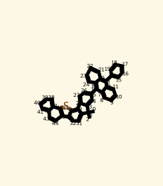 CC1(C)c2cc(-c3c4ccccc4c(-c4ccccc4)c4ccccc34)ccc2-c2c1ccc1c2sc2c3ccccc3ccc12